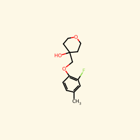 Cc1ccc(OCC2(O)CCOCC2)c(F)c1